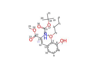 CCCCOc1c(O)cccc1/C=C(\NC(=O)OC(C)(C)C)C(=O)OC